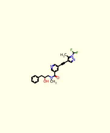 Cc1c(C#Cc2cncc(C(=O)N(C)C[C@@H](O)Cc3ccccc3)c2)cnn1C(F)F